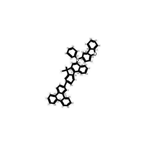 CC1(C)c2cc(-c3ccc4c5ccccc5c5ccccc5c4c3)ccc2-c2c1cc(N(c1ccccc1)c1ccc3oc4ccccc4c3c1)c1ccccc21